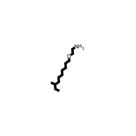 CCC(C)CCCCCCCOCCN